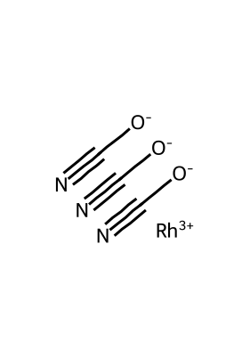 N#C[O-].N#C[O-].N#C[O-].[Rh+3]